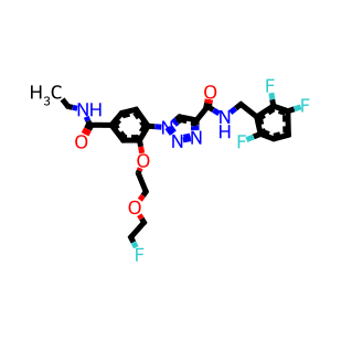 CCNC(=O)c1ccc(-n2cc(C(=O)NCc3c(F)ccc(F)c3F)nn2)c(OCCOCCF)c1